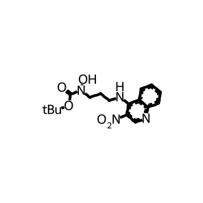 CC(C)(C)OC(=O)N(O)CCCNc1c([N+](=O)[O-])cnc2ccccc12